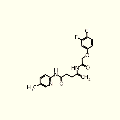 C=C(CCC(=O)Nc1ccc(C)cn1)NC(=O)COc1ccc(Cl)c(F)c1